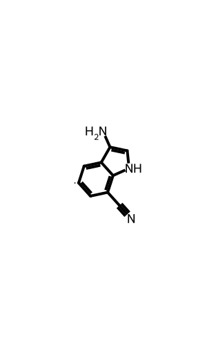 N#Cc1c[c]cc2c(N)c[nH]c12